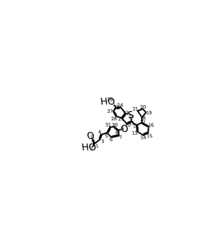 O=C(O)C=Cc1ccc(Oc2c(-c3ccccc3C3CCC3)sc3cc(O)ccc23)cc1